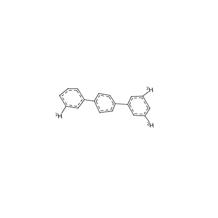 [2H]c1cccc(-c2ccc(-c3cc([2H])cc([2H])c3)cc2)c1